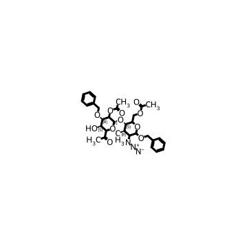 CC(=O)OCC1OC(OCc2ccccc2)C(N=[N+]=[N-])[C@@H](C)[C@@H]1O[C@@H]1OC(C(C)=O)[C@@H](O)[C@@H](OCc2ccccc2)C1OC(C)=O